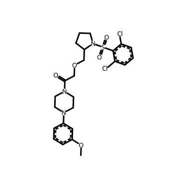 COc1cccc(N2CCN(C(=O)COCC3CCCN3S(=O)(=O)c3c(Cl)cccc3Cl)CC2)c1